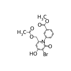 COC(=O)c1cccc(-n2c(COC(C)=O)cc(O)c(Br)c2=O)c1